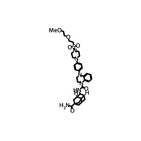 COCCOCCS(=O)(=O)N1CCN(c2ccc(N3CCN(C(=O)NC4[C@@H]5CC6C[C@H]4CC(C(N)=O)(C6)C5)c4ccccc43)cc2)CC1